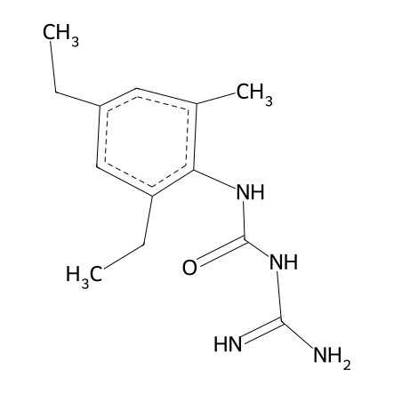 CCc1cc(C)c(NC(=O)NC(=N)N)c(CC)c1